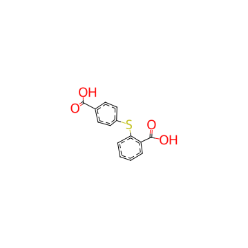 O=C(O)c1ccc(Sc2ccccc2C(=O)O)cc1